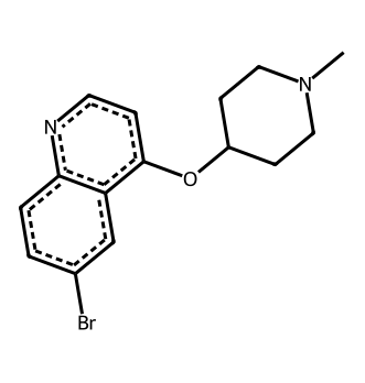 CN1CCC(Oc2ccnc3ccc(Br)cc23)CC1